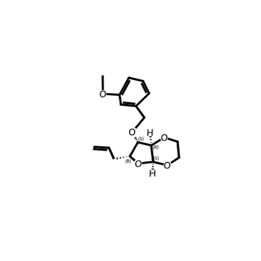 C=CC[C@H]1O[C@@H]2OCCO[C@@H]2[C@H]1OCc1cccc(OC)c1